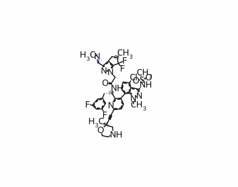 C/N=C/c1nn(CC(=O)N[C@@H](Cc2cc(F)cc(F)c2)c2nc(C#C[C@]3(C)CNCCO3)ccc2-c2ccc(Cl)c3c(NS(C)(=O)=O)nn(C)c23)c2c1C[C@@H](C)C2(F)F